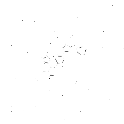 CCC[C@H](C(=O)O)[C@H](Cc1ccc(-c2cnn(Cc3ccncc3)c2)cc1)c1ncn[nH]1